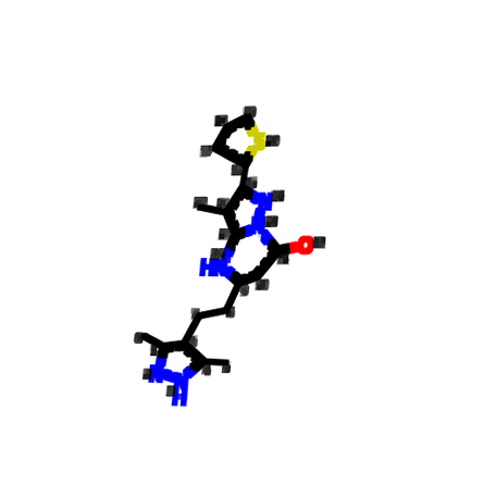 Cc1n[nH]c(C)c1CCc1cc(=O)n2nc(-c3cccs3)c(C)c2[nH]1